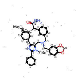 CCCCn1c(-c2ccccc2)nc(-c2ccc(OC)cc2)c1CN(Cc1cccc(C(C(N)=O)C(=O)O)c1)Cc1ccc2c(c1)OCO2